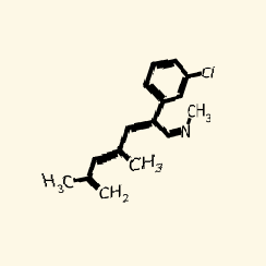 C=C(C)/C=C(C)/C=C(\C=N/C)c1cccc(Cl)c1